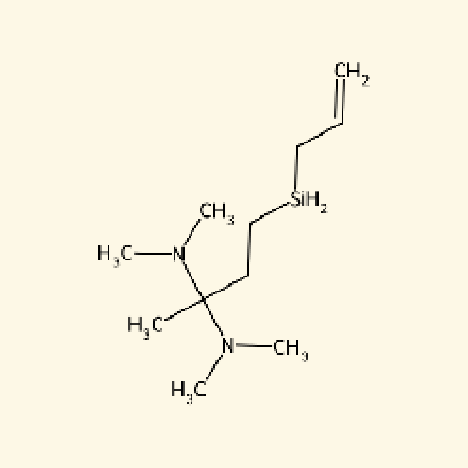 C=CC[SiH2]CCC(C)(N(C)C)N(C)C